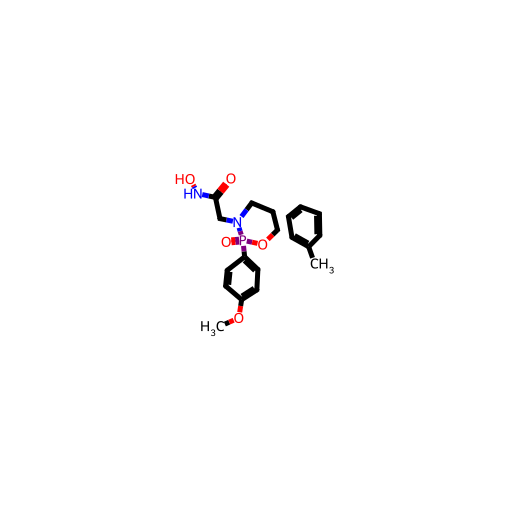 COc1ccc(P2(=O)OCCCN2CC(=O)NO)cc1.Cc1ccccc1